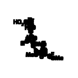 COc1ccc(C2=CN3C(=O)c4cc(OC)c(OCCCOc5cc6c(cc5OC)C(=O)N5C=C(c7ccc(NC(=O)C(C)NC(=O)C(NC(=O)O)C(C)C)cc7)C[C@H]5C(=O)N6COCC[Si](C)(C)C)cc4N(COCC[Si](C)(C)C)C(=O)[C@@H]3C2)cc1F